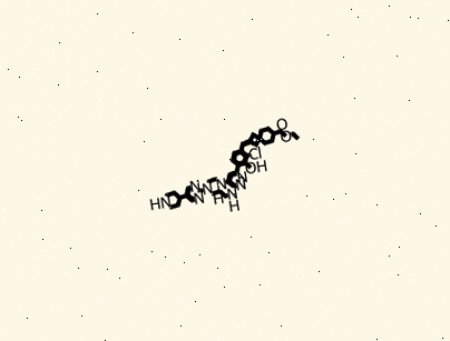 CCOC(=O)C1CCC2(CC1)CC(=Cc1ccc(-c3cc4c(nn3)NC[C@H]3CN(c5ncc(C6CCNCC6)cn5)CCN43)c(O)c1Cl)C2